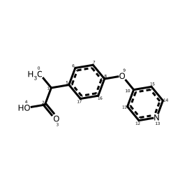 CC(C(=O)O)c1ccc(Oc2ccncc2)cc1